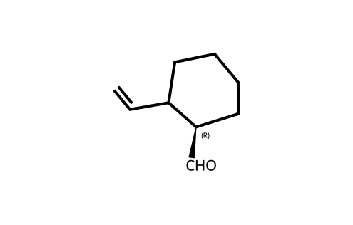 C=CC1CCCC[C@H]1C=O